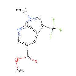 COC(=O)c1cnc2c(c1)c(C(F)(F)F)cn2C